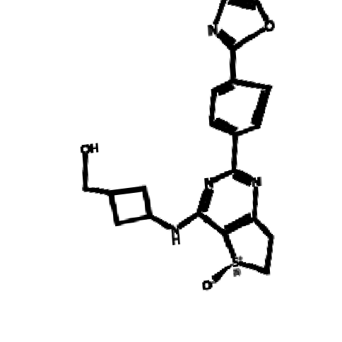 [O-][S@+]1CCc2nc(-c3ccc(-c4ncco4)cc3)nc(NC3CC(CO)C3)c21